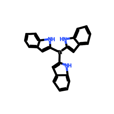 c1ccc2[nH][c]([Bi]([c]3cc4ccccc4[nH]3)[c]3cc4ccccc4[nH]3)cc2c1